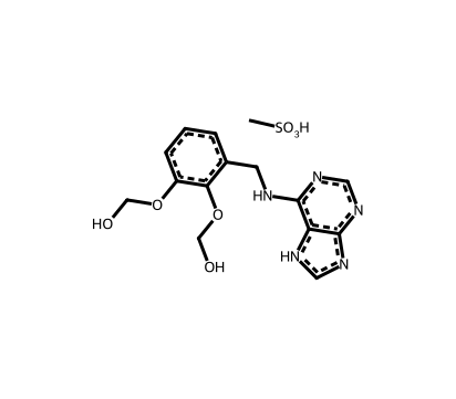 CS(=O)(=O)O.OCOc1cccc(CNc2ncnc3nc[nH]c23)c1OCO